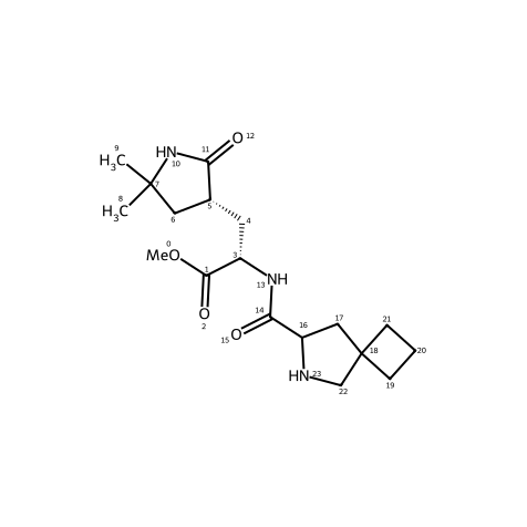 COC(=O)[C@H](C[C@@H]1CC(C)(C)NC1=O)NC(=O)C1CC2(CCC2)CN1